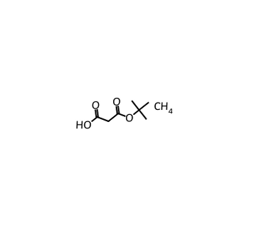 C.CC(C)(C)OC(=O)CC(=O)O